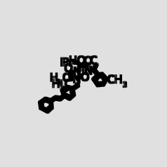 Cc1cccc(C(CC(=O)O)NC(=O)[C@H](CC(C)C)N2C(=O)N(Cc3ccc(C=Cc4ccccc4)cc3)C(C)(C)C2=O)c1